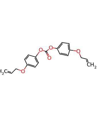 C=CCOc1ccc(OC(=O)Oc2ccc(OCC=C)cc2)cc1